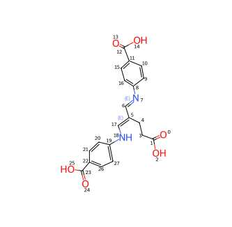 O=C(O)CCC(/C=N/c1ccc(C(=O)O)cc1)=C\Nc1ccc(C(=O)O)cc1